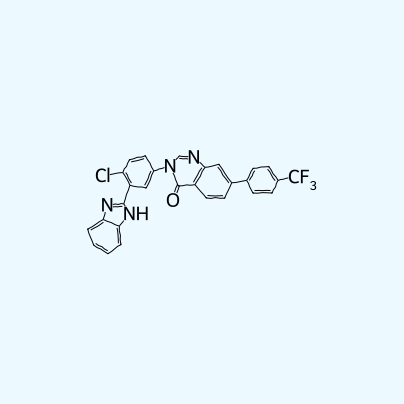 O=c1c2ccc(-c3ccc(C(F)(F)F)cc3)cc2ncn1-c1ccc(Cl)c(-c2nc3ccccc3[nH]2)c1